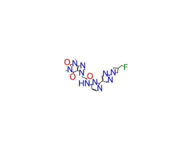 Cn1c(=O)c2c(ncn2CC(=O)Nc2ccnc(-c3cnc(N4CC(CF)C4)nc3)n2)n(C)c1=O